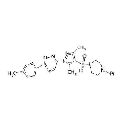 Cc1ccc(-c2ccc(-n3nc(C)c(S(=O)(=O)N4CCN(C(C)C)CC4)c3C)nn2)cc1